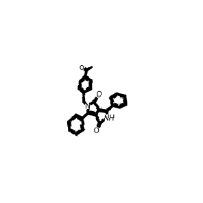 CC(=O)c1ccc(CN2C(=O)C3=C(c4ccccc4)NC(=O)C3=C2c2ccccc2)cc1